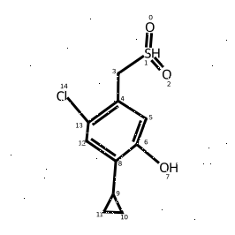 O=[SH](=O)Cc1cc(O)c(C2CC2)cc1Cl